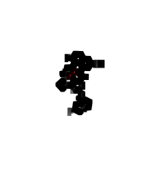 Cc1c(-c2cc(O)cc3ccc(F)c(-c4cn(C)nn4)c23)oc(=O)c2c(N3CCC3)nc(OC[C@@]34CCCN3C[C@H](F)C4)nc12